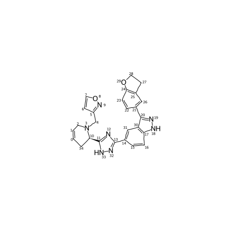 C1=CCN(Cc2ccon2)[C@@H](c2nc(-c3ccc4[nH]nc(-c5ccc6c(c5)CCO6)c4c3)n[nH]2)C1